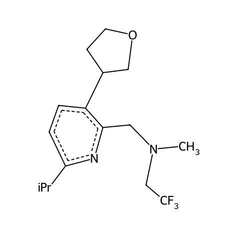 CC(C)c1ccc(C2CCOC2)c(CN(C)CC(F)(F)F)n1